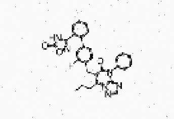 CCCc1c(Cc2ccc(-c3ccccc3-c3noc(=O)[nH]3)cc2F)c(=O)n(-c2ccccc2)c2ncnn12